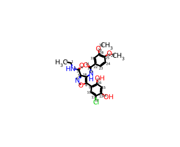 CCNC(=O)c1noc(-c2cc(Cl)c(O)cc2O)c1NC(=O)c1ccc(OC)c(OC)c1